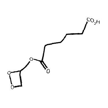 O=C(O)CCCCC(=O)OC1COO1